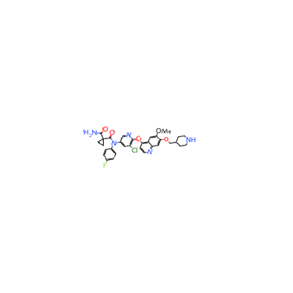 COc1cc2c(Oc3ncc(N(C(=O)C4(C(N)=O)CC4)c4ccc(F)cc4)cc3Cl)ccnc2cc1OCC1CCNCC1